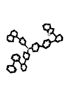 c1ccc(-c2ccccc2-c2ccccc2-c2ccc(N(c3ccc(-c4ccc(-c5ccccc5-c5cc6ccccc6o5)cc4)cc3)c3ccc(-c4cccc5ccccc45)cc3)cc2)cc1